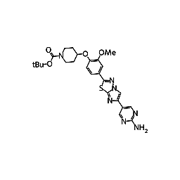 COc1cc(-c2nn3cc(-c4cnc(N)nc4)nc3s2)ccc1OC1CCN(C(=O)OC(C)(C)C)CC1